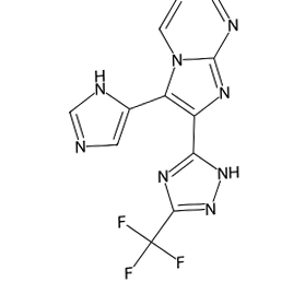 FC(F)(F)c1n[nH]c(-c2nc3ncccn3c2-c2cnc[nH]2)n1